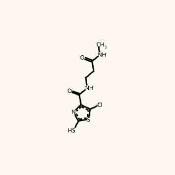 CNC(=O)CCNC(=O)c1nc(S)sc1Cl